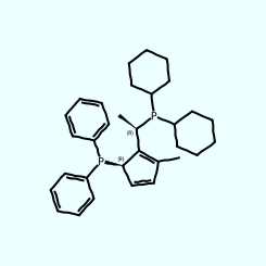 CC1=C([C@@H](C)P(C2CCCCC2)C2CCCCC2)[C@H](P(c2ccccc2)c2ccccc2)C=C1